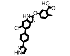 Cc1ccc(Oc2nc3cc(-c4ccc(-c5cc[nH]n5)cc4)c(Cl)cc3[nH]2)cc1C(=O)O